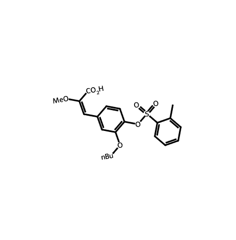 CCCCOc1cc(C=C(OC)C(=O)O)ccc1OS(=O)(=O)c1ccccc1C